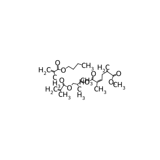 C=C(C)C(=O)OCC(C)C.C=C(C)C(=O)OCCCC.C=C(CC=C(C)C(=O)O)C(=O)OC